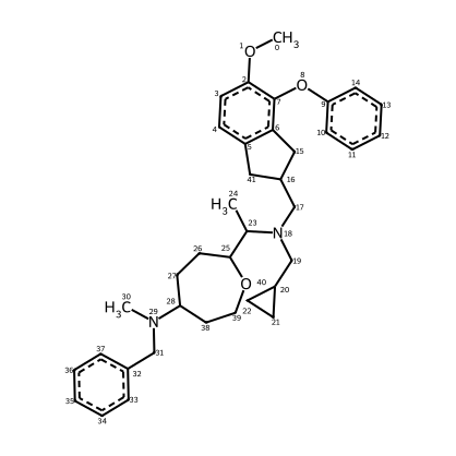 COc1ccc2c(c1Oc1ccccc1)CC(CN(CC1CC1)C(C)C1CCC(N(C)Cc3ccccc3)CCO1)C2